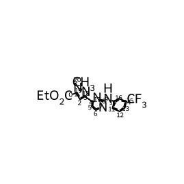 CCOC(=O)c1cc(-c2ccnc(Nc3cccc(C(F)(F)F)c3)n2)nn1C